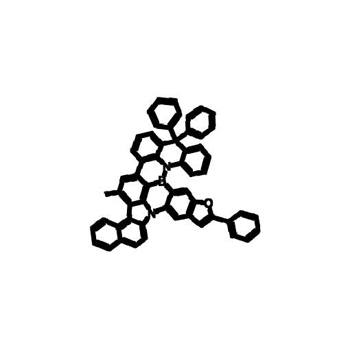 Cc1cc2c3c4c1c1c5ccccc5ccc1n4-c1cc4cc(-c5ccccc5)oc4cc1B3N1c3ccccc3C(c3ccccc3)(c3ccccc3)c3cccc-2c31